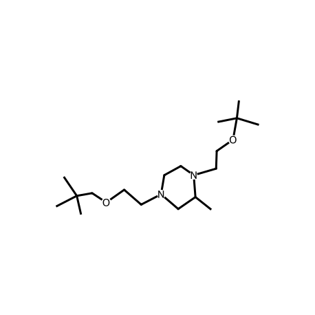 CC1CN(CCOCC(C)(C)C)CCN1CCOC(C)(C)C